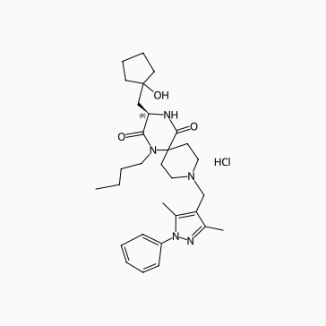 CCCCN1C(=O)[C@@H](CC2(O)CCCC2)NC(=O)C12CCN(Cc1c(C)nn(-c3ccccc3)c1C)CC2.Cl